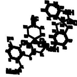 CNCc1ccc(F)cc1CN(CC(=O)Nc1ccc2c(c1)C[C@@]1(C2)C(=O)Nc2ncccc21)C(=O)C1(C)CCN(C(C)=O)CC1